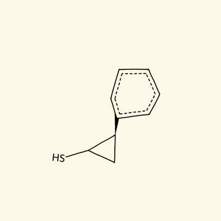 SC1C[C@@H]1c1ccccc1